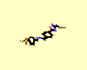 CCCCCCCCCCCc1noc(-c2ccc(CNCc3ccc(S(=O)(=O)C(F)(F)F)cc3)cc2)n1